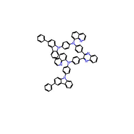 c1ccc(-c2ccc3c(c2)c2ccccc2n3-c2ccc(N(c3ccc(-c4nc5ccccc5nc4-c4ccc(N(c5ccc(-n6c7ccccc7c7cc(-c8ccccc8)ccc76)cc5)c5cccc6cccnc56)cc4)cc3)c3cccc4cccnc34)cc2)cc1